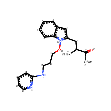 CCCCCCC(Cc1cc2ccccc2n1OCCCNc1ccccn1)C(=O)OC